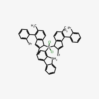 CCC1=Cc2c(ccc(C)c2-c2ccccc2C(C)C)[CH]1[Zr]([Cl])([Cl])([c]1cccc2c1[SiH2]c1ccccc1-2)[CH]1C(CC)=Cc2c1ccc(C)c2-c1ccccc1C(C)C